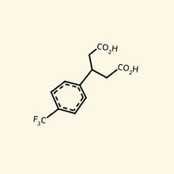 O=C(O)CC(CC(=O)O)c1ccc(C(F)(F)F)cc1